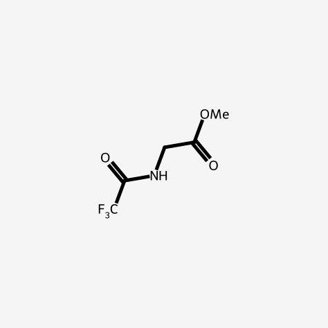 COC(=O)CNC(=O)C(F)(F)F